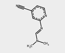 CN(C)C=Nc1cc(C#N)ccn1